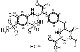 CCOC(=O)[C@H](Cc1ccc(N(C(C)=O)C2Nc3cc(Cl)c(S(N)(=O)=O)cc3S(=O)(=O)N2)cc1)N[C@@H](C)C(=O)O.Cl